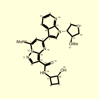 CNc1cc(-c2cn([C@@H]3COC[C@H]3OC)c3ncccc23)nc2c(C(=O)NC3CC[C@@H]3O)cnn12